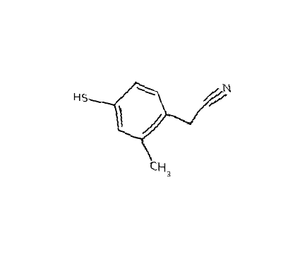 Cc1cc(S)ccc1CC#N